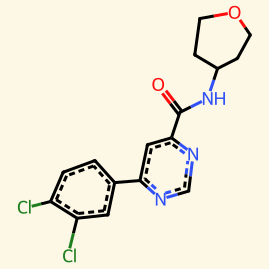 O=C(NC1CCOCC1)c1cc(-c2ccc(Cl)c(Cl)c2)ncn1